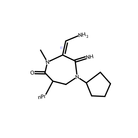 CCCC1CN(C2CCCC2)C(=N)/C(=C\N)N(C)C1=O